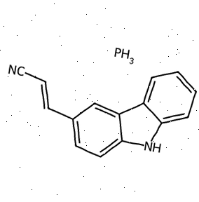 N#CC=Cc1ccc2[nH]c3ccccc3c2c1.P